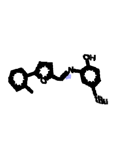 Cc1ccccc1-c1ccc(/C=N/c2cc(C(C)(C)C)ccc2O)o1